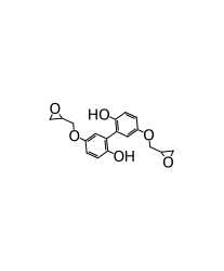 Oc1ccc(OCC2CO2)cc1-c1cc(OCC2CO2)ccc1O